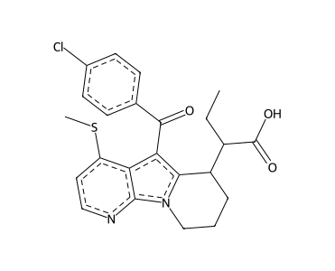 CCC(C(=O)O)C1CCCn2c1c(C(=O)c1ccc(Cl)cc1)c1c(SC)ccnc12